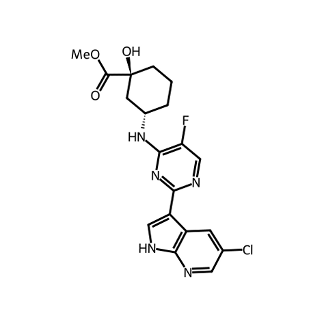 COC(=O)[C@]1(O)CCC[C@H](Nc2nc(-c3c[nH]c4ncc(Cl)cc34)ncc2F)C1